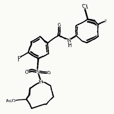 CC(=O)OC1CCCCN(S(=O)(=O)c2cc(C(=O)Nc3ccc(F)c(Cl)c3)ccc2F)C1